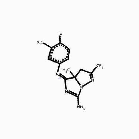 CC12CC(C(F)(F)F)=NN1C(N)=N/C2=N/c1ccc(Br)c(C(F)(F)F)c1